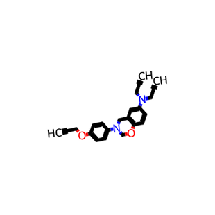 C#CCOc1ccc(N2COc3ccc(N(CC#C)CC#C)cc3C2)cc1